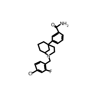 NC(=O)c1cccc(C23CCCC(C2)N(Cc2ccc(Cl)cc2F)CC3)c1